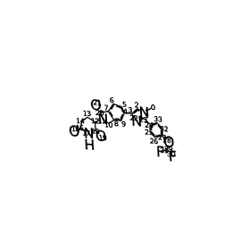 Cn1cc(-c2ccc3c(c2)CN(C2CCC(=O)NC2=O)C3=O)nc1-c1ccc(OC(F)F)cc1